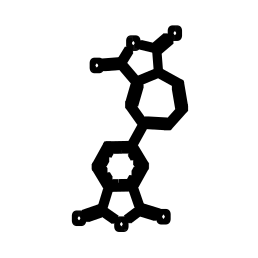 O=C1OC(=O)C2C=CC=C(c3ccc4c(c3)C(=O)OC4=O)C=C12